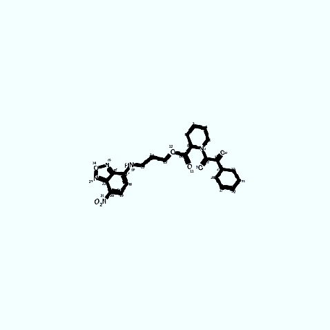 O=C(C(=O)N1CCCCC1C(=O)OCCCNc1ccc([N+](=O)[O-])c2nonc12)C1CCCCC1